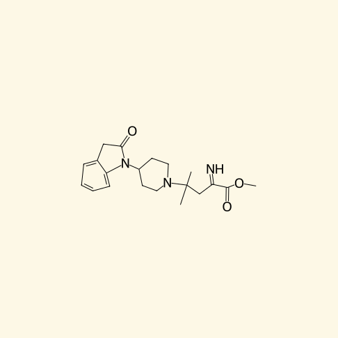 COC(=O)C(=N)CC(C)(C)N1CCC(N2C(=O)Cc3ccccc32)CC1